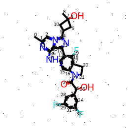 Cc1cn2c(C3CC(C)(O)C3)nc(-c3ccc4c(c3F)CCN4C(=O)[C@@H](O)c3cc(F)cc(F)c3)c2c(N)n1